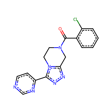 O=C(c1ccccc1Cl)N1CCn2c(nnc2-c2ccncn2)C1